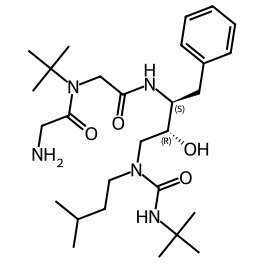 CC(C)CCN(C[C@@H](O)[C@H](Cc1ccccc1)NC(=O)CN(C(=O)CN)C(C)(C)C)C(=O)NC(C)(C)C